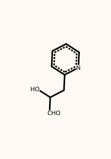 O=CC(O)Cc1ccccn1